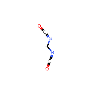 O=C=N[CH]N=C=O